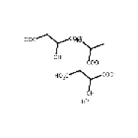 CC(O)C(=O)[O-].O=C(O)CC(O)C(=O)[O-].O=C([O-])CC(O)C(=O)[O-].[Ti+4]